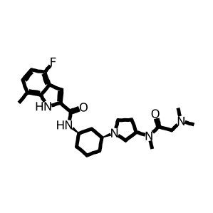 Cc1ccc(F)c2cc(C(=O)N[C@@H]3CCC[C@H](N4CCC(N(C)C(=O)CN(C)C)C4)C3)[nH]c12